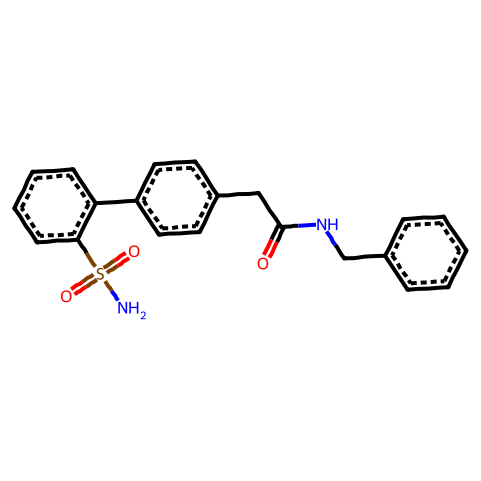 NS(=O)(=O)c1ccccc1-c1ccc(CC(=O)NCc2ccccc2)cc1